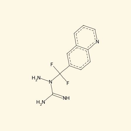 N=C(N)N(N)C(F)(F)c1ccc2ncccc2c1